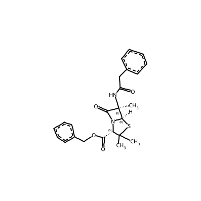 CC1(C)S[C@H]2N(C(=O)[C@@]2(C)NC(=O)Cc2ccccc2)[C@H]1C(=O)OCc1ccccc1